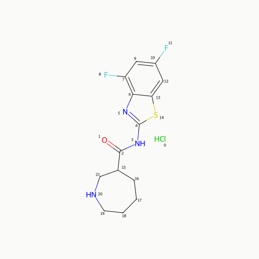 Cl.O=C(Nc1nc2c(F)cc(F)cc2s1)C1CCCCNC1